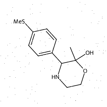 CSc1ccc(C2NCCOC2(C)O)cc1